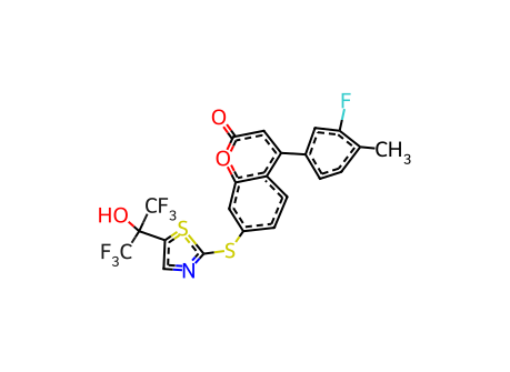 Cc1ccc(-c2cc(=O)oc3cc(Sc4ncc(C(O)(C(F)(F)F)C(F)(F)F)s4)ccc23)cc1F